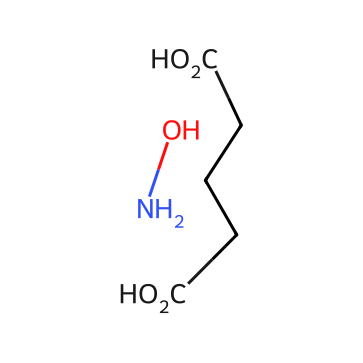 NO.O=C(O)CCCC(=O)O